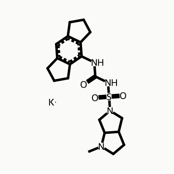 CN1CCC2CN(S(=O)(=O)NC(=O)Nc3c4c(cc5c3CCC5)CCC4)CC21.[K]